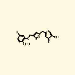 O=Cc1ccc(F)cc1OCc1cn(Cc2cc(=O)c(O)co2)nn1